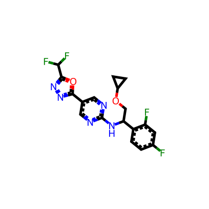 Fc1ccc(C(COC2CC2)Nc2ncc(-c3nnc(C(F)F)o3)cn2)c(F)c1